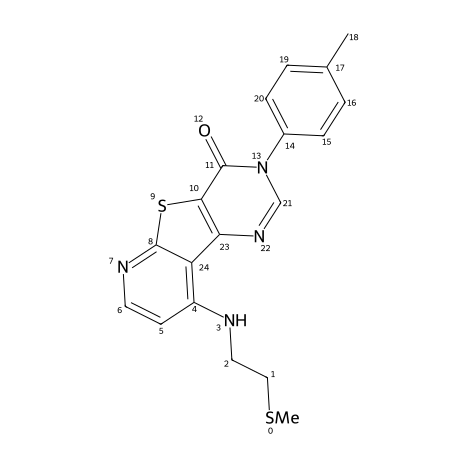 CSCCNc1ccnc2sc3c(=O)n(-c4ccc(C)cc4)cnc3c12